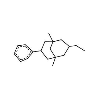 CCC1CC2(C)CC(c3ccccc3)CC(C)(C1)C2